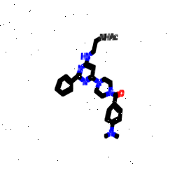 CC(=O)NCCNc1cc(N2CCN(C(=O)c3ccc(N(C)C)cc3)CC2)nc(-c2ccccc2)n1